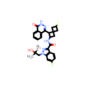 CC(C)(O)Cn1nc(C(=O)NC2CC3(CC(F)C3)C2c2n[nH]c(=O)c3ccccc23)c2ccc(F)cc21